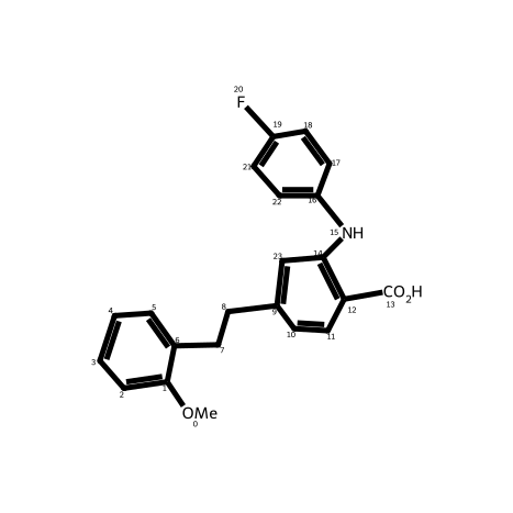 COc1ccccc1CCc1ccc(C(=O)O)c(Nc2ccc(F)cc2)c1